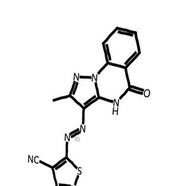 Cc1nn2c([nH]c(=O)c3ccccc32)c1/N=N/c1sncc1C#N